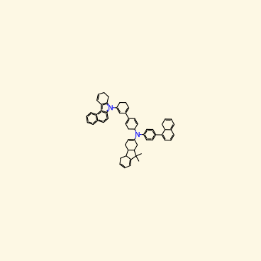 CC1(C)C2=CC=CCC2C2CC=C(N(c3ccc(C4=CC=CC5=CC=CCC54)cc3)C3C=CC(C4=CCCC(n5c6c(c7c8ccccc8ccc75)C=CCC6)=C4)=CC3)CC21